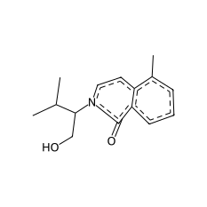 Cc1cccc2c(=O)n(C(CO)C(C)C)ccc12